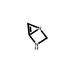 C1=C2NCN12